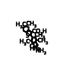 Cc1c(C)c(-c2sc3c(c2C(=O)O)CC(C)(C)CC3)c(C)c(C)c1CNN